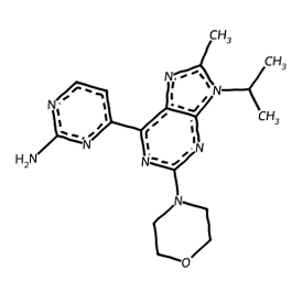 Cc1nc2c(-c3ccnc(N)n3)nc(N3CCOCC3)nc2n1C(C)C